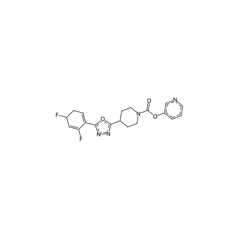 O=C(Oc1cccnc1)N1CCC(c2nnc(C3=CCC(F)C=C3F)o2)CC1